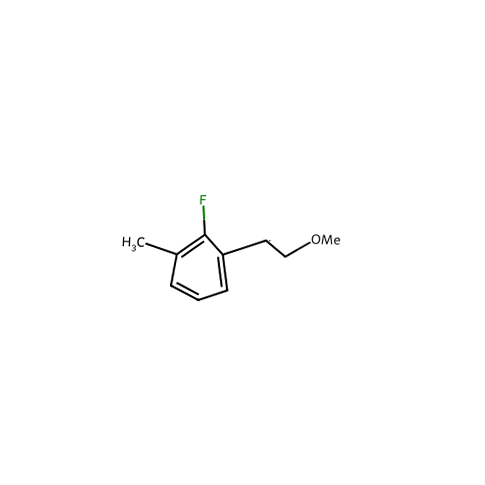 COC[CH]c1cccc(C)c1F